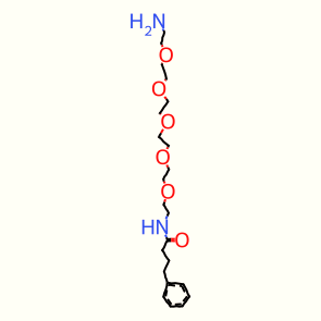 NCCOCCOCCOCCOCCOCCNC(=O)CCCc1ccccc1